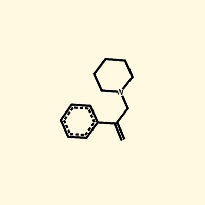 C=C(CN1CCCCC1)c1ccccc1